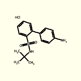 CC(C)(C)NS(=O)(=O)c1ccccc1-c1ccc(N)cc1.Cl